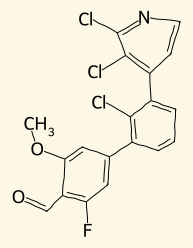 COc1cc(-c2cccc(-c3ccnc(Cl)c3Cl)c2Cl)cc(F)c1C=O